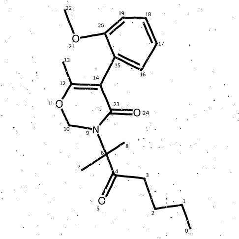 CCCCC(=O)C(C)(C)N1COC(C)=C(c2ccccc2OC)C1=O